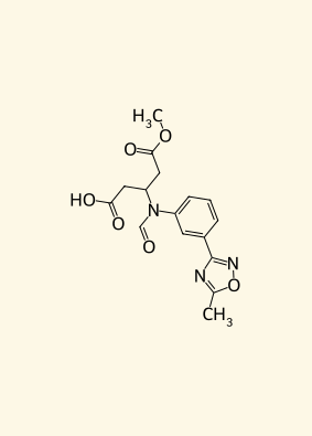 COC(=O)CC(CC(=O)O)N(C=O)c1cccc(-c2noc(C)n2)c1